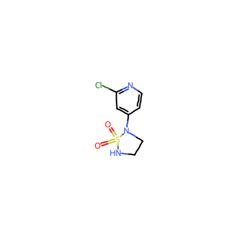 O=S1(=O)NCCN1c1ccnc(Cl)c1